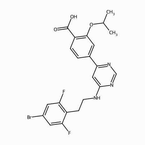 CC(C)Oc1cc(-c2cc(NCCc3c(F)cc(Br)cc3F)ncn2)ccc1C(=O)O